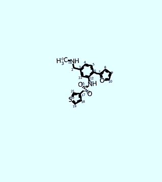 CNCc1ccc(-c2ccco2)c(NS(=O)(=O)c2ccsc2)c1